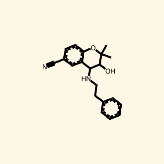 CC1(C)Oc2ccc(C#N)cc2C(NCCc2ccccc2)C1O